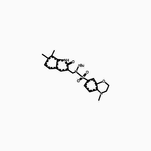 CCCCN(Cc1cc2ccc(C)c(C)c2[nH]c1=O)S(=O)(=O)c1ccc2c(c1)OCCN2C